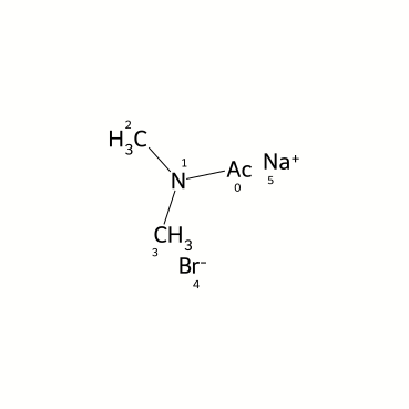 CC(=O)N(C)C.[Br-].[Na+]